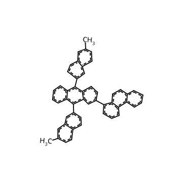 Cc1ccc2cc(-c3c4ccccc4c(-c4ccc5ccc(C)cc5c4)c4cc(-c5cccc6c5ccc5ccccc56)ccc34)ccc2c1